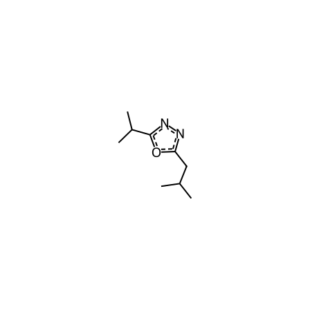 CC(C)Cc1nnc(C(C)C)o1